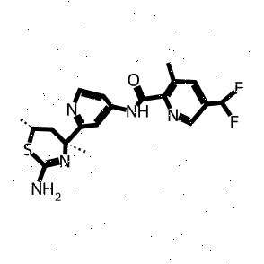 Cc1cc(C(F)F)cnc1C(=O)Nc1ccnc([C@]2(C)C[C@@H](C)SC(N)=N2)c1